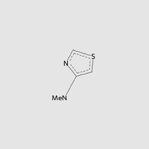 CNc1cscn1